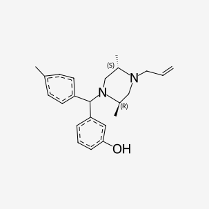 C=CCN1C[C@@H](C)N(C(c2ccc(C)cc2)c2cccc(O)c2)C[C@@H]1C